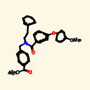 COC(=O)c1ccc(CN(CCc2ccccc2)C(=O)c2ccc(Oc3ccc(OC)cc3)cc2)cc1